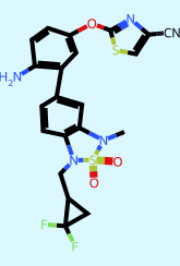 CN1c2cc(-c3cc(Oc4nc(C#N)cs4)ccc3N)ccc2N(CC2CC2(F)F)S1(=O)=O